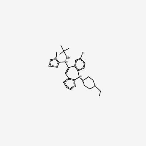 CCN1CCN([C@@H]2c3ccc(Cl)cc3C([C@@H](NC(C)(C)C)c3cncn3C)=Cc3cccnc32)CC1